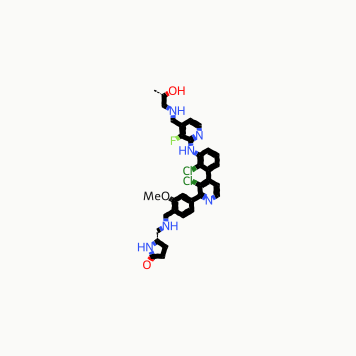 COc1cc(-c2nccc(-c3cccc(Nc4nccc(CNC[C@H](C)O)c4F)c3Cl)c2Cl)ccc1CNC[C@@H]1CCC(=O)N1